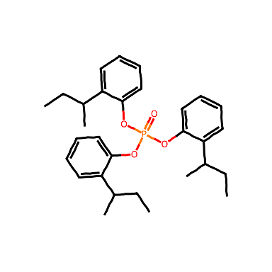 CCC(C)c1ccccc1OP(=O)(Oc1ccccc1C(C)CC)Oc1ccccc1C(C)CC